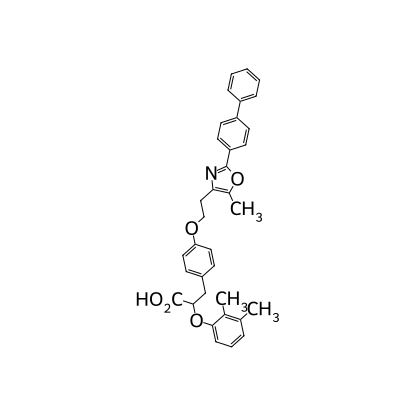 Cc1cccc(OC(Cc2ccc(OCCc3nc(-c4ccc(-c5ccccc5)cc4)oc3C)cc2)C(=O)O)c1C